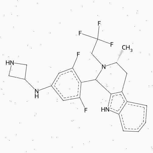 C[C@@H]1Cc2c([nH]c3ccccc23)C(c2c(F)cc(NC3CNC3)cc2F)N1CC(F)(F)F